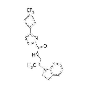 CC(CNC(=O)c1csc(-c2ccc(C(F)(F)F)cc2)n1)N1CCc2ccccc21